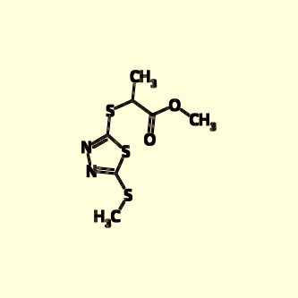 COC(=O)C(C)Sc1nnc(SC)s1